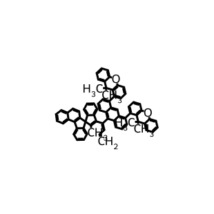 C=C/C=C(\C1=C(C)C2(c3ccccc31)c1ccccc1-c1c2ccc2ccccc12)c1c2cccc(-c3cccc4c3C(C)(C)c3ccccc3O4)c2cc2c(-c3cccc4c3C(C)(C)c3ccccc3O4)cccc12